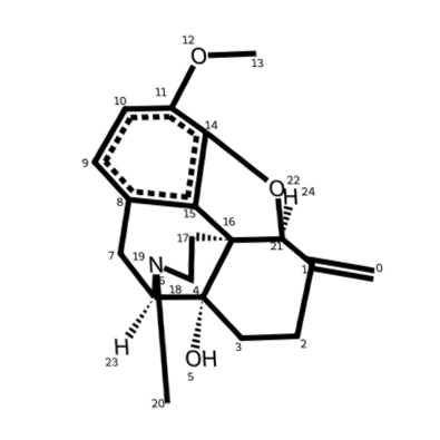 C=C1CC[C@@]2(O)[C@H]3Cc4ccc(OC)c5c4[C@@]2(CCN3C)[C@H]1O5